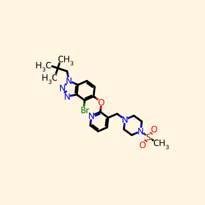 CC(C)(C)Cn1nnc2c(Br)c(Oc3ncccc3CN3CCN(S(C)(=O)=O)CC3)ccc21